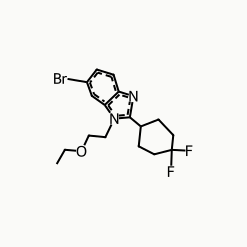 CCOCCn1c(C2CCC(F)(F)CC2)nc2ccc(Br)cc21